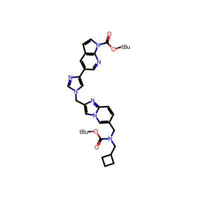 CC(C)(C)OC(=O)N(Cc1ccc2nc(Cn3cnc(-c4cnc5c(ccn5C(=O)OC(C)(C)C)c4)c3)cn2c1)CC1CCC1